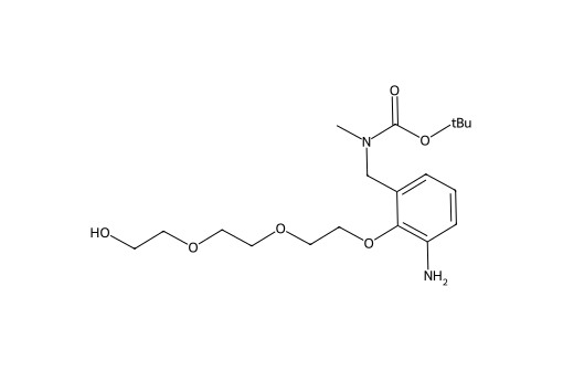 CN(Cc1cccc(N)c1OCCOCCOCCO)C(=O)OC(C)(C)C